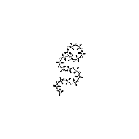 C[SiH](C)O[Si](C)(C)O[Si](C)(C)O[Si](C)(C)O[Si](C)(C)O[Si](C)(C)O[Si](C)(C)O[Si](C)(C)O[Si](C)(C)O[Si](C)(C)O[Si](C)(C)O[Si](C)(C)O[Si](C)(C)O[Si](C)(C)O[Si](C)(C)O[Si](C)(C)O[SiH](C)C